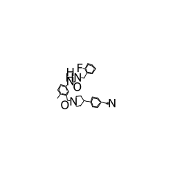 Cc1ccc(NC(=O)NCc2ccccc2F)cc1C(=O)N1CCC(c2ccc(C#N)cc2)CC1